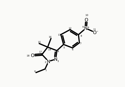 CCN1N=C(c2ccc([N+](=O)[O-])cc2)C(C)(C)C1=O